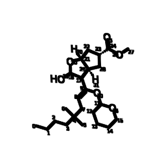 CCCCC(C)(C)CC=C(OC1CCCCO1)C1C(O)O[C@@H]2C[C@H](C(=O)OC)C[C@@H]12